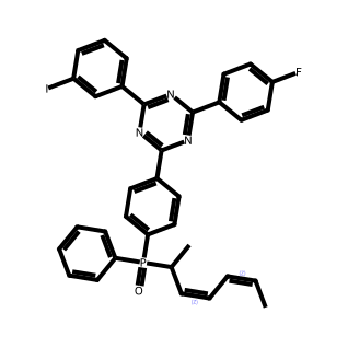 C/C=C\C=C/C(C)P(=O)(c1ccccc1)c1ccc(-c2nc(-c3ccc(F)cc3)nc(-c3cccc(I)c3)n2)cc1